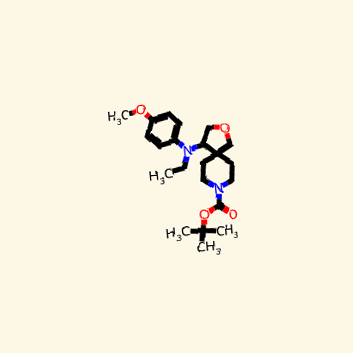 CCN(c1ccc(OC)cc1)C1COCC12CCN(C(=O)OC(C)(C)C)CC2